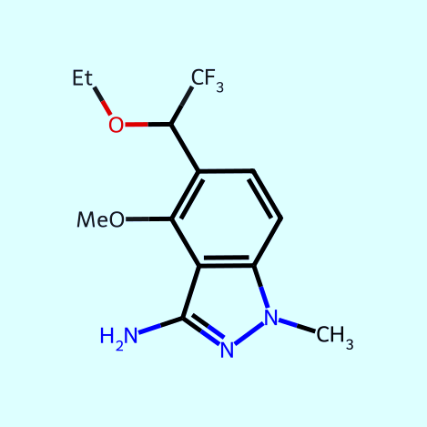 CCOC(c1ccc2c(c(N)nn2C)c1OC)C(F)(F)F